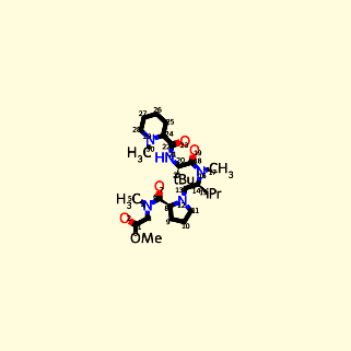 COC(=O)CN(C)C(=O)[C@@H]1CCCN1C[C@H](C(C)C)N(C)C(=O)[C@@H](NC(=O)C1CCCCN1C)C(C)(C)C